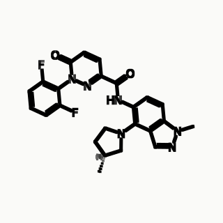 C[C@@H]1CCN(c2c(NC(=O)c3ccc(=O)n(-c4c(F)cccc4F)n3)ccc3c2cnn3C)C1